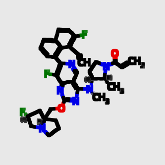 C#Cc1c(F)ccc2cccc(-c3ncc4c(N(C)[C@@H]5CCN(C(=O)C=C)[C@@H]5C)nc(OC[C@@]56CCCN5C[C@H](F)C6)nc4c3F)c12